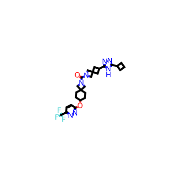 O=C(N1CC2(CCC(Oc3ccc(C(F)(F)F)nn3)CC2)C1)N1CC2(CC(c3nnc(C4CCC4)[nH]3)C2)C1